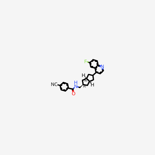 N#Cc1ccc(C(=O)NC[C@H]2C[C@H]3CC(c4ccnc5ccc(F)cc45)C[C@H]3C2)cc1